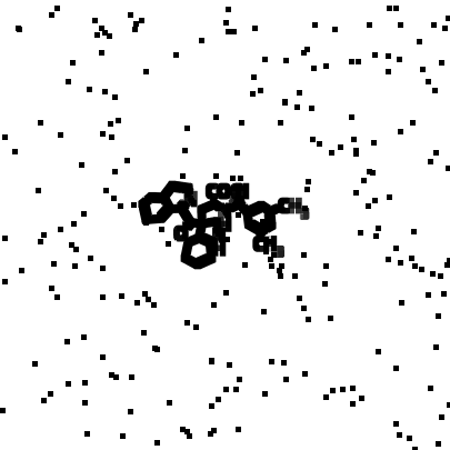 Cc1cc(C)cc(C(=O)N[C@@H](CC2(C(=O)c3nccc4ccccc34)CNC3=C2CCC=C3)C(=O)O)c1